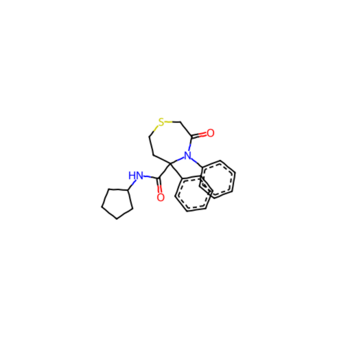 O=C1CSCCC(C(=O)NC2CCCC2)(c2ccccc2)N1c1ccccc1